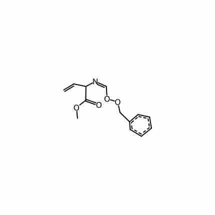 C=CC(/N=C\OOCc1ccccc1)C(=O)OC